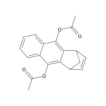 CC(=O)Oc1c2c(c(OC(C)=O)c3ccccc13)C1C=CC2C1